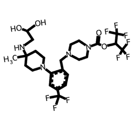 CC1(NCC(O)O)CCN(c2cc(C(F)(F)F)ccc2CN2CCN(C(=O)OC(C(F)(F)F)C(F)(F)F)CC2)CC1